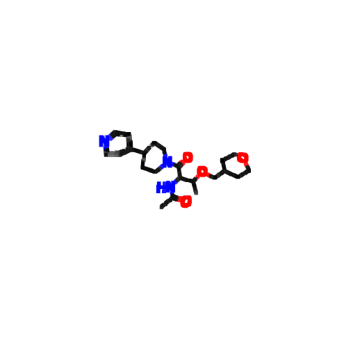 CC(=O)NC(C(=O)N1CCC(c2ccncc2)CC1)C(C)OCC1CCOCC1